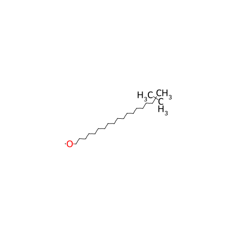 CC(C)(C)CCCCCCCCCCCCCCCCC[O]